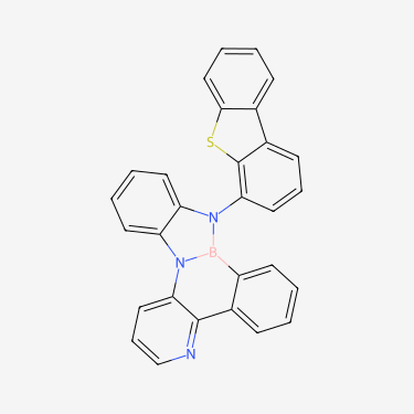 c1ccc2c(c1)B1N(c3ccccc3N1c1cccc3c1sc1ccccc13)c1cccnc1-2